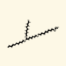 CCCCCCCCCCOC(CCCCCCOCCCCCCCCCOOC)OCCCCCCCCCC